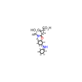 CCCN(Cc1ccc(Nc2ccccc2)cc1)C(=O)C1CC(C(=O)O)C1C(=O)O